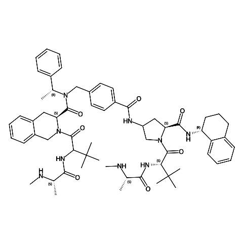 CN[C@@H](C)C(=O)NC(C(=O)N1Cc2ccccc2C[C@H]1C(=O)N(Cc1ccc(C(=O)NC2C[C@@H](C(=O)N[C@@H]3CCCc4ccccc43)N(C(=O)[C@@H](NC(=O)[C@H](C)NC)C(C)(C)C)C2)cc1)[C@H](C)c1ccccc1)C(C)(C)C